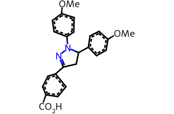 COc1ccc(C2CC(c3ccc(C(=O)O)cc3)=NN2c2ccc(OC)cc2)cc1